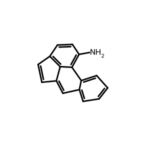 Nc1ccc2c3c(cc4ccccc4c13)C=C2